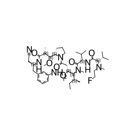 CC[C@H](C)[C@@H]([C@@H](CC(=O)N1CCC[C@H]1[C@H](OC)[C@@H](C)C(=O)N[C@H](CC#N)Cc1cccc(N)c1)OC)N(C)C(=O)[C@@H](NC(=O)[C@H](C(C)C)N(C)CCF)C(C)C